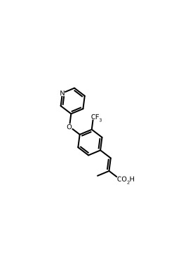 CC(=Cc1ccc(Oc2cccnc2)c(C(F)(F)F)c1)C(=O)O